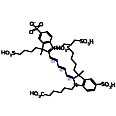 CC1(CCCCS(=O)(=O)O)C(/C=C/C=C/C=C2/N(CCCCCC(=O)O)c3ccc(S(=O)(=O)O)cc3C2(C)CCCCS(=O)(=O)O)=[N+](CCCCS(=O)(=O)O)c2ccc(S(=O)(=O)[O-])cc21